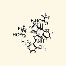 Cc1ccnc(C)c1-c1nc2c([nH]1)-c1cccnc1Nc1cc(F)ccc1-2.O=C(O)C(F)(F)F.O=C(O)C(F)(F)F